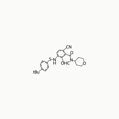 Cc1c(NSc2ccc(C(C)(C)C)cc2)ccc(C#N)c1C(=O)N(C=O)C1CCOCC1